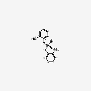 CCCCc1ccccc1OP(=O)(S)Sc1ccccc1CCCC